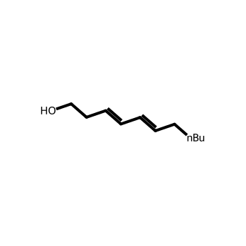 CCCCC/C=C/C=C/CCO